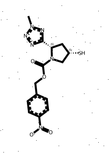 Cn1nnc([C@@H]2C[C@H](S)CN2C(=O)OCc2ccc([N+](=O)[O-])cc2)n1